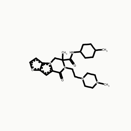 CC1CCC(NC(=O)C2(C)Cn3c(cc4occc43)C(=O)N2CCN2CCN(C)CC2)CC1